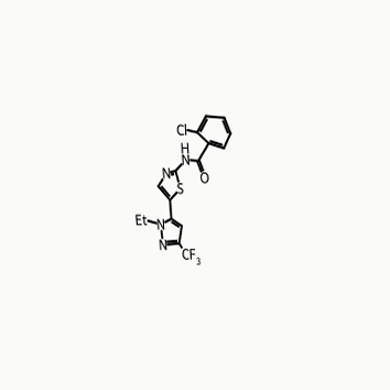 CCn1nc(C(F)(F)F)cc1-c1cnc(NC(=O)c2ccccc2Cl)s1